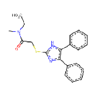 CN(CC(=O)O)C(=O)CSc1nc(-c2ccccc2)c(-c2ccccc2)[nH]1